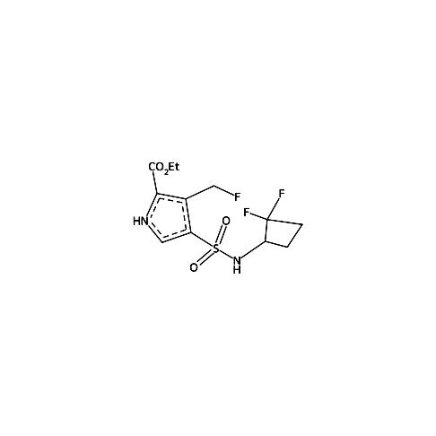 CCOC(=O)c1[nH]cc(S(=O)(=O)NC2CCC2(F)F)c1CF